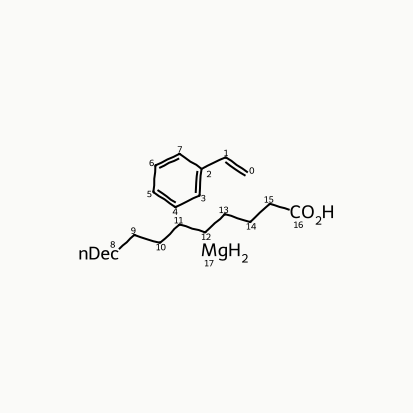 C=Cc1ccccc1.CCCCCCCCCCCCCCCCCC(=O)O.[MgH2]